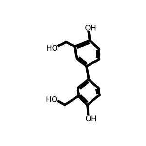 OCc1cc(-c2ccc(O)c(CO)c2)ccc1O